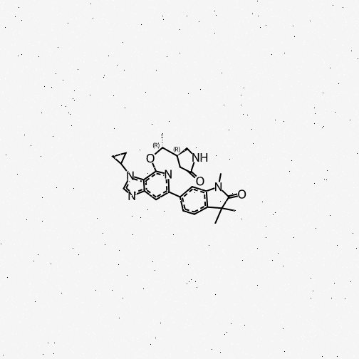 C[C@@H](Oc1nc(-c2ccc3c(c2)N(C)C(=O)C3(C)C)cc2ncn(C3CC3)c12)[C@H]1CNC(=O)C1